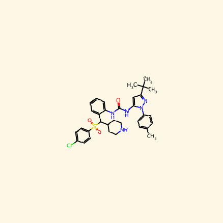 Cc1ccc(-n2nc(C(C)(C)C)cc2NC(=O)Nc2ccccc2C(C2CCNCC2)S(=O)(=O)c2ccc(Cl)cc2)cc1